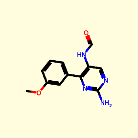 COc1cccc(-c2nc(N)ncc2NC=O)c1